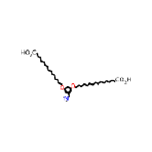 CN(C)Cc1cc(OCCCCCCCCCCCCCCCC(=O)O)cc(OCCCCCCCCCCCCCCCC(=O)O)c1